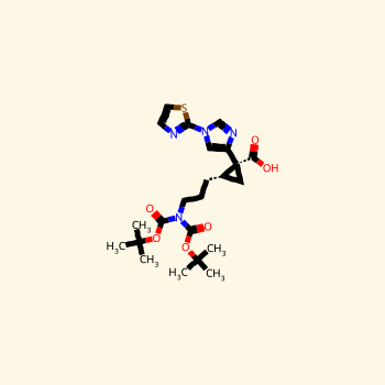 CC(C)(C)OC(=O)N(CCC[C@H]1C[C@]1(C(=O)O)c1cn(-c2nccs2)cn1)C(=O)OC(C)(C)C